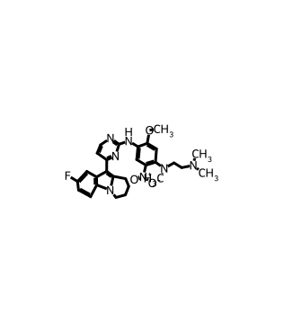 COc1cc(N(C)CCN(C)C)c([N+](=O)[O-])cc1Nc1nccc(-c2c3n(c4ccc(F)cc24)CCCC3)n1